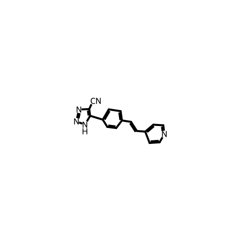 N#Cc1nn[nH]c1-c1ccc(C=Cc2ccncc2)cc1